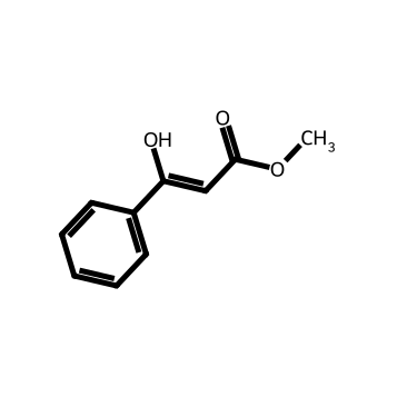 COC(=O)C=C(O)c1ccccc1